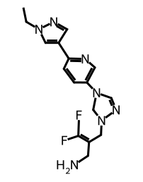 CCn1cc(-c2ccc(N3C=NN(CC(CN)=C(F)F)C3)cn2)cn1